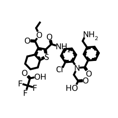 CCOC(=O)c1c(C(N)=O)sc2c1CCCC2.NCc1cccc(C(=O)N(CC(=O)O)c2ccccc2Cl)c1.O=C(O)C(F)(F)F